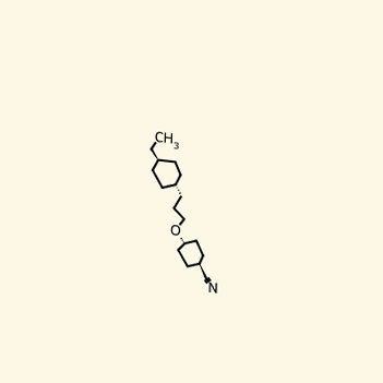 CC[C@H]1CC[C@H](CCCO[C@H]2CC[C@H](C#N)CC2)CC1